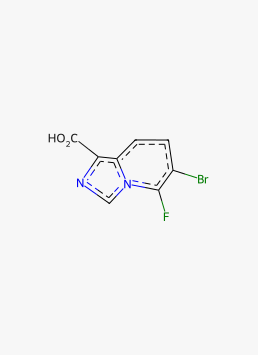 O=C(O)c1ncn2c(F)c(Br)ccc12